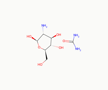 NC(N)=O.N[C@@H]1[C@@H](O)[C@H](O)[C@@H](CO)O[C@H]1O